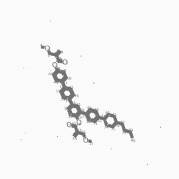 C=C(COC)C(=O)Oc1ccc(-c2ccc(-c3ccc(OC(=O)C(=C)COC)c(-c4ccc(C5CCC(CCCC)CC5)cc4)c3)cc2)cc1